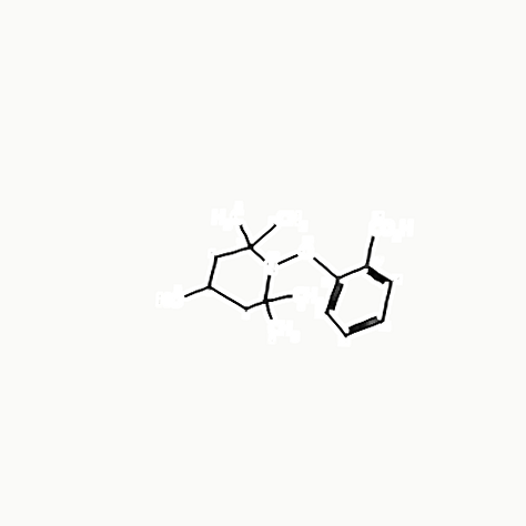 CC1(C)CC(O)CC(C)(C)N1Oc1ccccc1C(=O)O